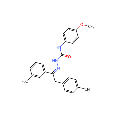 N#Cc1ccc(CC(=NNC(=O)Nc2ccc(OC(F)(F)F)cc2)c2cccc(C(F)(F)F)c2)cc1